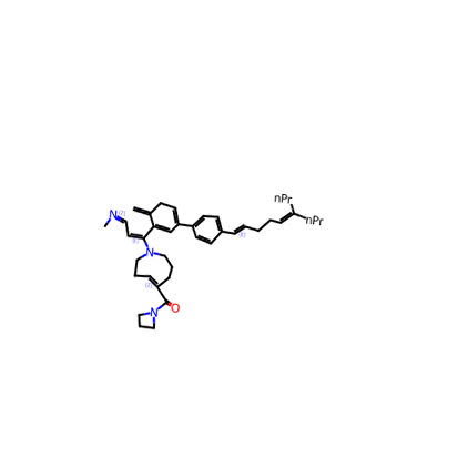 C=C1CC=C(c2ccc(/C=C/CCC=C(CCC)CCC)cc2)C=C1/C(=C\C=N/C)N1CC/C=C(\C(=O)N2CCC2)CCC1